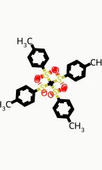 Cc1ccc(S(=O)(=O)C(S(=O)(=O)c2ccc(C)cc2)(S(=O)(=O)c2ccc(C)cc2)S(=O)(=O)c2ccc(C)cc2)cc1